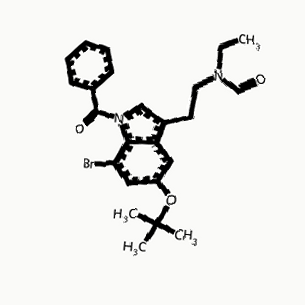 CCN(C=O)CCc1cn(C(=O)c2ccccc2)c2c(Br)cc(OC(C)(C)C)cc12